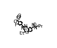 CCC(Oc1ccc(-c2noc(C(C)C)n2)cc1)c1nc(-c2ccc(C(=O)N3CCOCC3)c(F)c2)no1